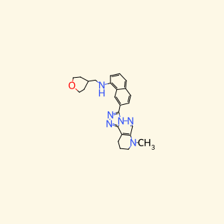 CN1CCCc2c1cnn1c(-c3ccc4cccc(NCC5CCOCC5)c4c3)nnc21